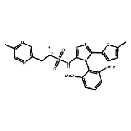 COc1cccc(OC)c1-n1c(NS(=O)(=O)[C@@H](C)Cc2cnc(C)cn2)nnc1-c1ccc(C)o1